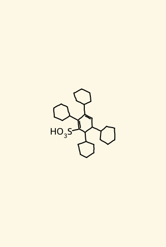 O=S(=O)(O)C1=C(C2CCCCC2)C(C2CCCCC2)=CC(C2CCCCC2)C1C1CCCCC1